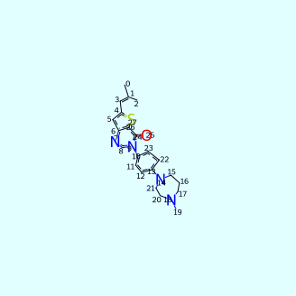 CC(C)=Cc1cc2ncn(-c3ccc(N4CCCN(C)CC4)cc3)c(=O)c2s1